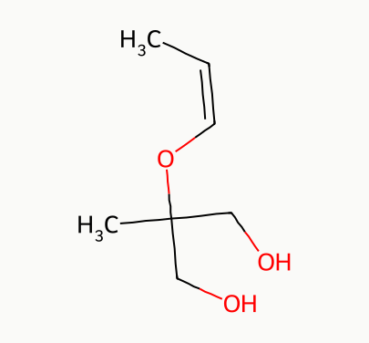 C/C=C\OC(C)(CO)CO